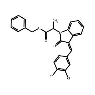 CC(C(=O)OCc1ccccc1)N1C(=O)C(=Cc2ccc(Cl)c(Cl)c2)c2ccccc21